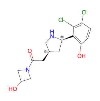 O=C(C[C@H]1CN[C@@H](c2c(O)ccc(Cl)c2Cl)C1)N1CC(O)C1